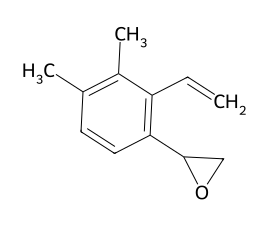 C=Cc1c(C2CO2)ccc(C)c1C